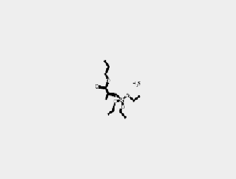 CCCOC(=O)C(C)=C[Si](OCC)(OCC)OCC.S